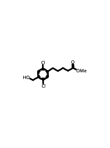 COC(=O)CCCCc1cc(Cl)c(CO)cc1Cl